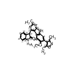 COc1cc2c(cc1-c1c(C)noc1C)[nH]c1nc(C)nc(C3C(=O)Nc4ccccc43)c12